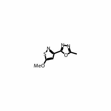 COc1cc(-c2nnc(C)o2)ns1